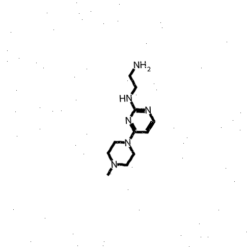 CN1CCN(c2ccnc(NCCN)n2)CC1